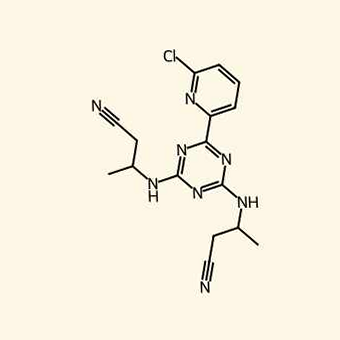 CC(CC#N)Nc1nc(NC(C)CC#N)nc(-c2cccc(Cl)n2)n1